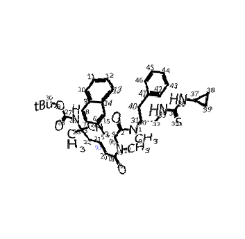 CN(C(=O)[C@@H](Cc1ccc2ccccc2c1)N(C)C(=O)/C=C/CC(C)(C)NC(=O)OC(C)(C)C)[C@@H](CNC(=S)NC1CC1)Cc1ccccc1